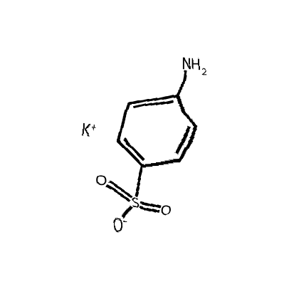 Nc1ccc(S(=O)(=O)[O-])cc1.[K+]